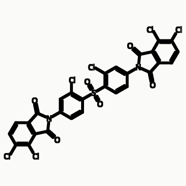 O=C1c2ccc(Cl)c(Cl)c2C(=O)N1c1ccc(S(=O)(=O)c2ccc(N3C(=O)c4ccc(Cl)c(Cl)c4C3=O)cc2Cl)c(Cl)c1